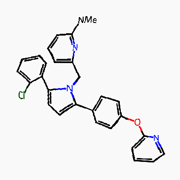 CNc1cccc(Cn2c(-c3ccc(Oc4ccccn4)cc3)ccc2-c2ccccc2Cl)n1